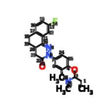 CCC(Oc1ccc(N2N=C3c4cc(F)ccc4CCC3CC2=O)cc1)N(C)C